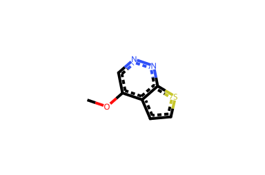 COc1cnnc2sccc12